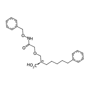 O=C(COC[C@@H](CCCCCc1ccccc1)C(=O)O)NOCc1ccccc1